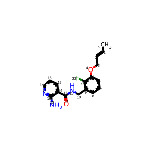 CC=CCOc1cccc(CNC(=O)c2cccnc2N)c1F